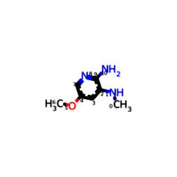 CNc1cc(OC)cnc1N